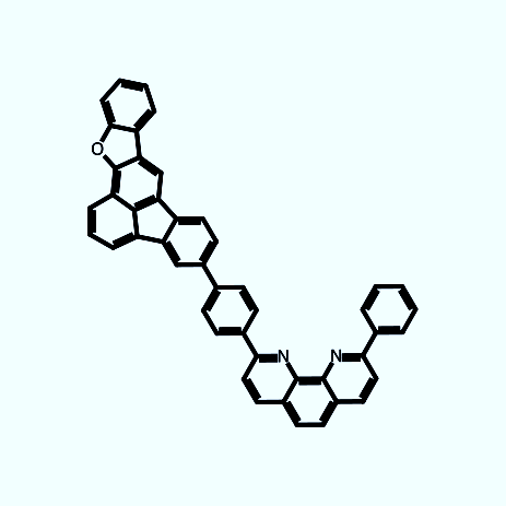 c1ccc(-c2ccc3ccc4ccc(-c5ccc(-c6ccc7c(c6)-c6cccc8c6c-7cc6c7ccccc7oc86)cc5)nc4c3n2)cc1